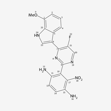 COc1cccc2c(-c3nc(-c4c(N)ccc(N)c4[N+](=O)[O-])ncc3F)c[nH]c12